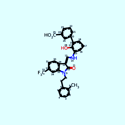 Cc1ccccc1CCN1C(=O)C(=CNc2cccc(-c3cccc(C(=O)O)c3)c2O)c2ccc(C(F)(F)F)cc21